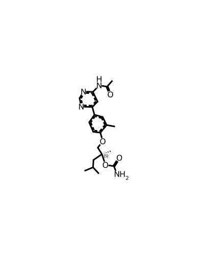 CC(=O)Nc1cc(-c2ccc(OC[C@](C)(CC(C)C)OC(N)=O)c(C)c2)ncn1